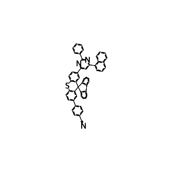 N#Cc1ccc(-c2ccc3c(c2)C2(c4cc(-c5cc(-c6cccc7ccccc67)nc(-c6ccccc6)n5)ccc4S3)c3ccccc3-c3ccccc32)cc1